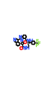 CCC[C@H](NC(=O)c1cccc2nc(-c3cncc4ccccc34)n(C3CC(C(=O)NC)C3)c12)c1ccc(C(F)(F)F)cc1